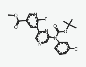 COC(=O)c1cnc(F)c(-c2cncc(N(C(=O)OC(C)(C)C)c3cccc(Cl)c3)n2)c1